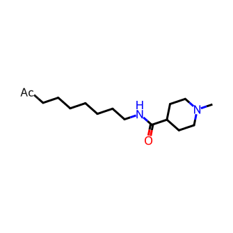 CC(=O)CCCCCCCNC(=O)C1CCN(C)CC1